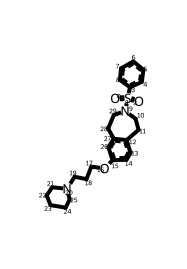 O=S(=O)(c1ccccc1)N1CCc2ccc(OCCCN3CCCCC3)cc2CC1